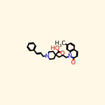 Cc1ccc2ccc(=O)n(CCCC3(C(=O)O)CCN(C/C=C/c4ccccc4)CC3)c2c1